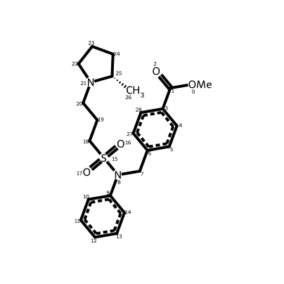 COC(=O)c1ccc(CN(c2ccccc2)S(=O)(=O)CCCN2CCC[C@@H]2C)cc1